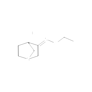 CCON=C1CN2CCC1C2.Cl